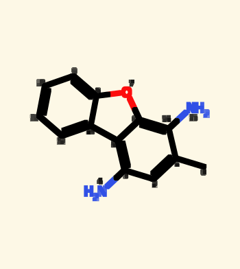 Cc1cc(N)c2c(oc3ccccc32)c1N